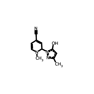 Cc1cc(O)n(C2C=C(C#N)C=CN2C)n1